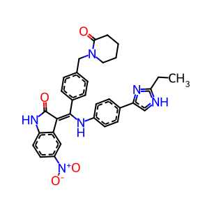 CCc1nc(-c2ccc(NC(=C3C(=O)Nc4ccc([N+](=O)[O-])cc43)c3ccc(CN4CCCCC4=O)cc3)cc2)c[nH]1